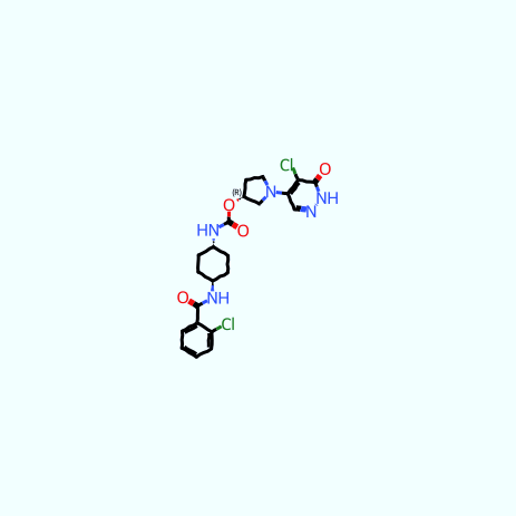 O=C(N[C@H]1CC[C@H](NC(=O)c2ccccc2Cl)CC1)O[C@@H]1CCN(c2cn[nH]c(=O)c2Cl)C1